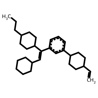 C=CC1CCC(c2cccc(C(=CC3CCCCC3)C3CCC(CCC)CC3)c2)CC1